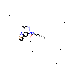 C=C(C)CNCC.CN(C)C1(c2cccs2)CCC(NC(=O)CCCC(=O)O)CC1